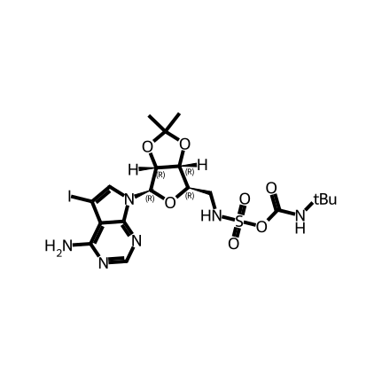 CC(C)(C)NC(=O)OS(=O)(=O)NC[C@H]1O[C@@H](n2cc(I)c3c(N)ncnc32)[C@@H]2OC(C)(C)O[C@@H]21